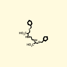 O=C(O)C(CSCc1ccccc1)NCCNC(CSCc1ccccc1)C(=O)O